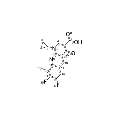 O=C(O)c1cn(C2CC2)c2nc3c(F)c(F)c(F)cc3cc2c1=O